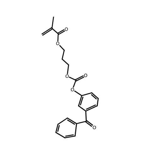 C=C(C)C(=O)OCCCOC(=O)Oc1cccc(C(=O)c2ccccc2)c1